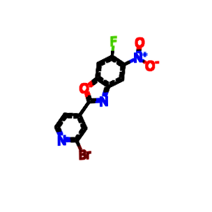 O=[N+]([O-])c1cc2nc(-c3ccnc(Br)c3)oc2cc1F